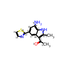 CC(=O)c1c(C)[nH]c2c(N)cc(-c3nccs3)cc12